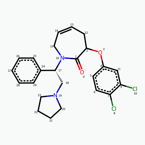 O=C1C(Oc2ccc(Cl)c(Cl)c2)CC=CCN1[C@H](CN1CCCC1)c1ccccc1